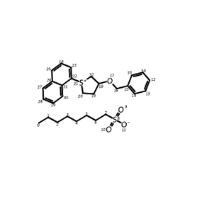 CCCCCCCCS(=O)(=O)[O-].c1ccc(COC2CC[S+](c3cccc4ccccc34)C2)cc1